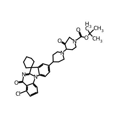 CC(C)(C)OC(=O)N1CCC(N2CCC(c3ccc4c(c3)C3(CCCCC3)c3nc(=O)c5c(Cl)cccc5n3-4)CC2)C(=O)C1